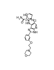 NC(=O)[C@@H]1[C@H](Nc2c(Cl)cnc3[nH]c(-c4cccc(OCCN5CCOCC5)c4)nc23)[C@H]2C=C[C@@H]1C2